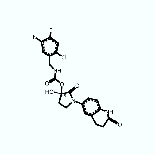 O=C1CCc2cc(N3CC[C@](O)(OC(=O)NCc4cc(F)c(F)cc4Cl)C3=O)ccc2N1